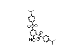 CC(C)c1ccc(S(=O)(=O)c2ccc(O)c(S(=O)(=O)c3ccc(C(C)C)cc3)c2)cc1